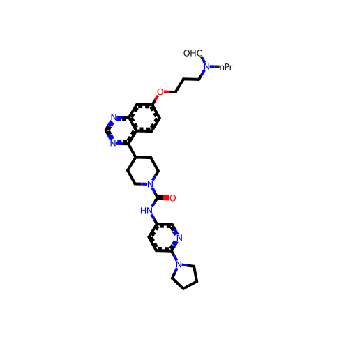 CCCN(C=O)CCCOc1ccc2c(C3CCN(C(=O)Nc4ccc(N5CCCC5)nc4)CC3)ncnc2c1